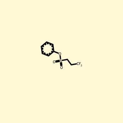 O=S(=O)(CCC(F)(F)F)Oc1ccccc1